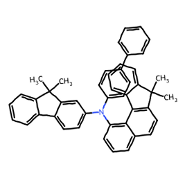 CC1(C)c2ccccc2-c2ccc(N(c3ccc(-c4ccccc4)cc3)c3cccc4ccc5c(c34)-c3ccccc3C5(C)C)cc21